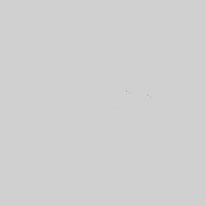 CCC(CC)(CC(C)C)C(=O)NN